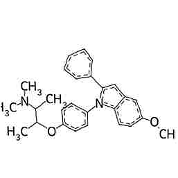 COc1ccc2c(c1)cc(-c1ccccc1)n2-c1ccc(OC(C)C(C)N(C)C)cc1